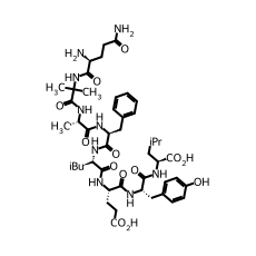 CC[C@H](C)[C@H](NC(=O)[C@H](Cc1ccccc1)NC(=O)[C@H](C)NC(=O)C(C)(C)NC(=O)[C@@H](N)CCC(N)=O)C(=O)N[C@@H](CCC(=O)O)C(=O)N[C@@H](Cc1ccc(O)cc1)C(=O)N[C@@H](CC(C)C)C(=O)O